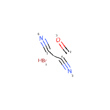 Br.C=O.N#CC#N